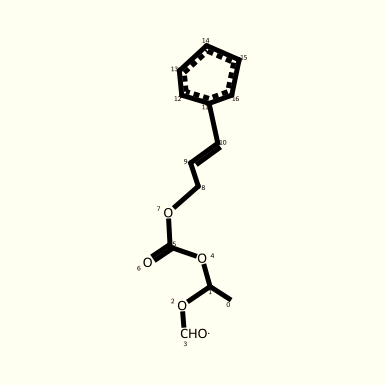 CC(O[C]=O)OC(=O)OCC=Cc1ccccc1